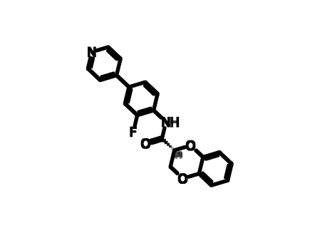 O=C(Nc1ccc(-c2ccncc2)cc1F)[C@H]1COc2ccccc2O1